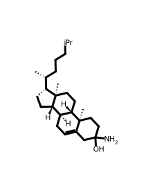 CC(C)CCC[C@@H](C)[C@H]1CC[C@H]2[C@@H]3CC=C4CC(N)(O)CC[C@]4(C)[C@H]3CC[C@]12C